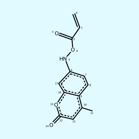 C=CC(=O)ONc1ccc2c(C)cc(=O)oc2c1